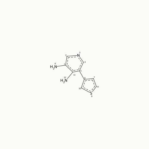 Nc1cncc(-c2ccsc2)c1N